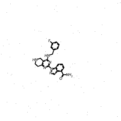 NC(=O)c1cccc2c1cnn2-c1nc2c(c(NCc3cccc(F)c3)n1)CNCC2